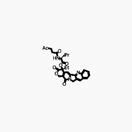 CC[C@@]1(OC(=O)[C@@H](NC(=O)CCC(C)=O)C(C)C)C(=O)OCc2c1cc1n(c2=O)Cc2cc3ccccc3nc2-1